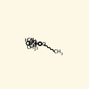 CCCCCCCCOc1ccc(C(=O)OC(C)CN2C(C)(C)CCCC2(C)C)cc1